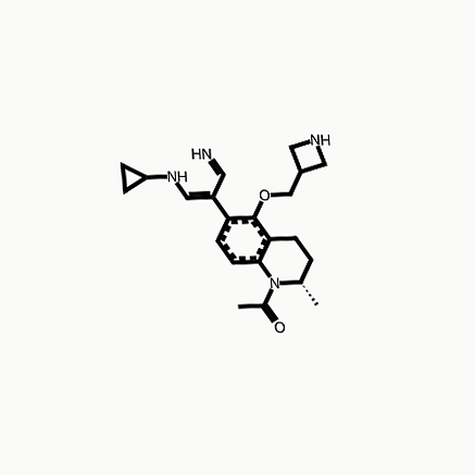 CC(=O)N1c2ccc(/C(C=N)=C/NC3CC3)c(OCC3CNC3)c2CC[C@@H]1C